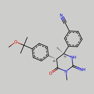 COC(C)(C)c1ccc([C@H]2C(=O)N(C)C(=N)N[C@]2(C)c2cccc(C#N)c2)cc1